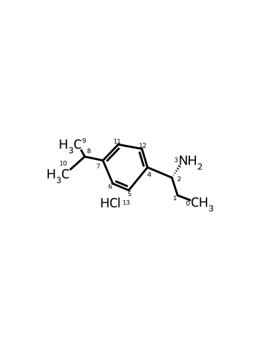 CC[C@@H](N)c1ccc(C(C)C)cc1.Cl